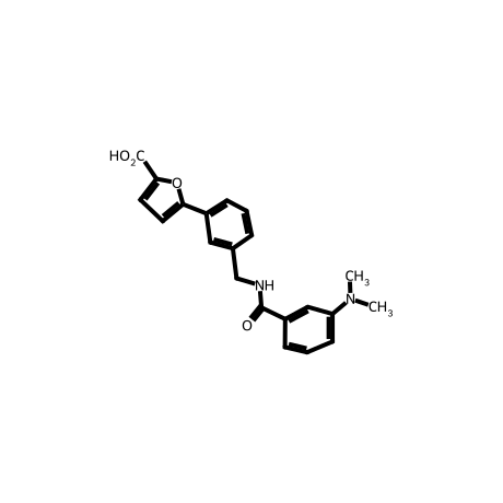 CN(C)c1cccc(C(=O)NCc2cccc(-c3ccc(C(=O)O)o3)c2)c1